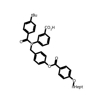 CCCCCCCOc1ccc(C(=O)Oc2ccc(CN(C(=O)c3ccc(C(C)(C)C)cc3)c3cccc(C(=O)O)c3)cc2)cc1